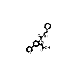 O=C(O)c1nn(C(=O)NCCN2CCCCC2)c2ccc(-c3cccnc3)cc12